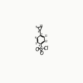 O=S(=O)(Cl)c1ccc(C2CC2)cc1